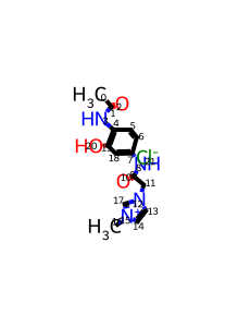 CC(=O)Nc1ccc(NC(=O)Cn2cc[n+](C)c2)cc1O.[Cl-]